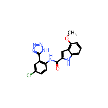 COc1cccc2[nH]c(C(=O)Nc3ccc(Cl)cc3-c3nnn[nH]3)cc12